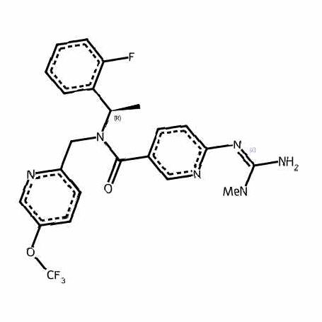 CN/C(N)=N\c1ccc(C(=O)N(Cc2ccc(OC(F)(F)F)cn2)[C@H](C)c2ccccc2F)cn1